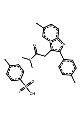 Cc1ccc(-c2nc3ccc(C)cn3c2CC(=O)N(C)C)cc1.Cc1ccc(S(=O)(=O)O)cc1